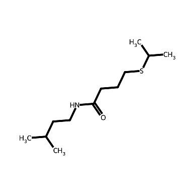 CC(C)CCNC(=O)CCCSC(C)C